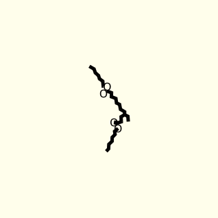 CCCCCCCOC(=O)CCCCCCCC(CC)CCC(=O)OCCCCCCC